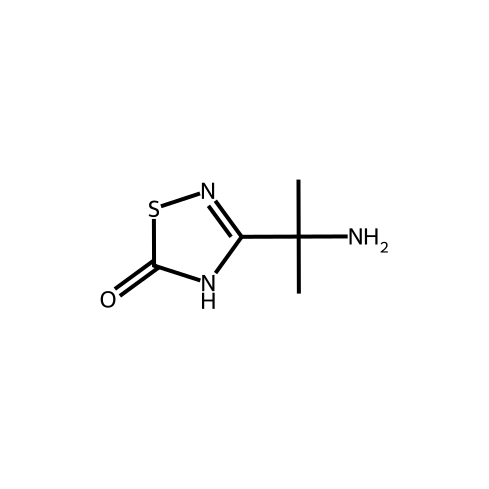 CC(C)(N)c1nsc(=O)[nH]1